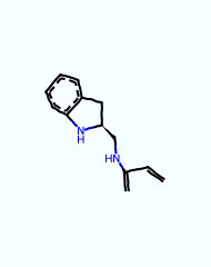 C=CC(=C)NC[C@@H]1Cc2ccccc2N1